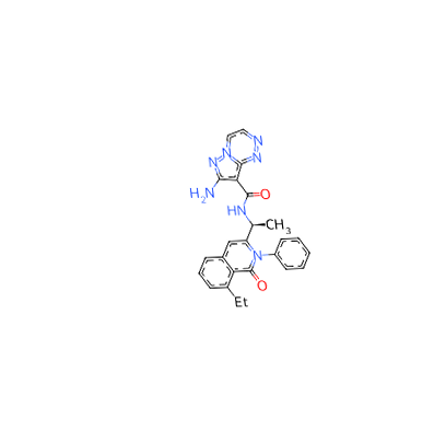 CCc1cccc2cc([C@H](C)NC(=O)c3c(N)nn4ccnnc34)n(-c3ccccc3)c(=O)c12